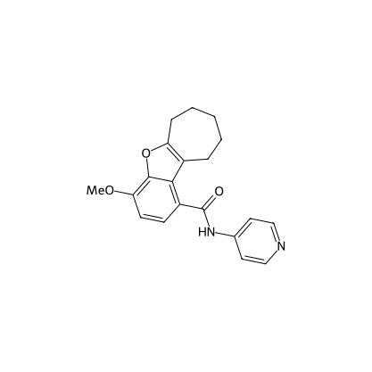 COc1ccc(C(=O)Nc2ccncc2)c2c3c(oc12)CCCCC3